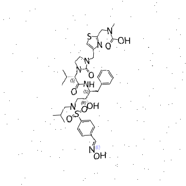 CC(C)CN(C[C@@H](O)[C@H](Cc1ccccc1)NC(=O)[C@H](C(C)C)N1CCN(Cc2csc(CN(C)C(=O)O)n2)C1=O)S(=O)(=O)c1ccc(/C=N/O)cc1